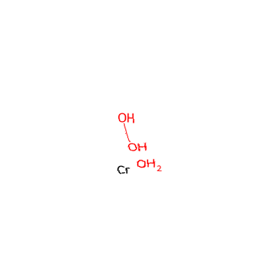 O.OO.[Cr]